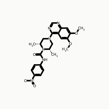 COc1cc2ncnc(N3C[C@@H](C)N(C(=O)Nc4ccc([N+](=O)[O-])cc4)[C@@H](C)C3)c2cc1OC